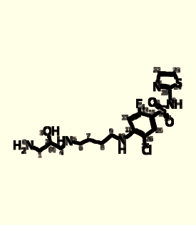 NC[C@@H](O)CNCCCCNc1cc(F)c(S(=O)(=O)Nc2nccs2)cc1Cl